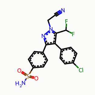 N#CCn1nc(-c2ccc(S(N)(=O)=O)cc2)c(-c2ccc(Cl)cc2)c1C(F)F